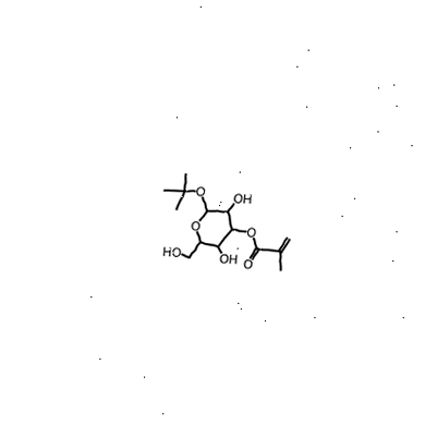 C=C(C)C(=O)OC1C(O)C(CO)OC(OC(C)(C)C)C1O